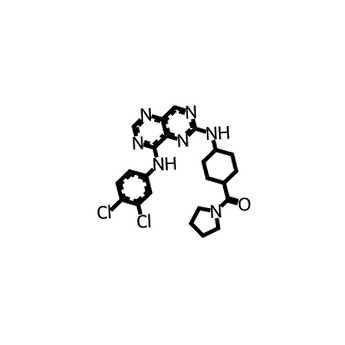 O=C(C1CCC(Nc2ncc3ncnc(Nc4ccc(Cl)c(Cl)c4)c3n2)CC1)N1CCCC1